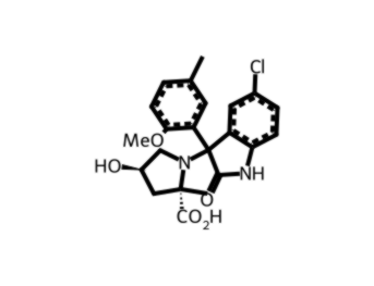 COc1ccc(C)cc1C1(N2C[C@H](O)C[C@@]2(C)C(=O)O)C(=O)Nc2ccc(Cl)cc21